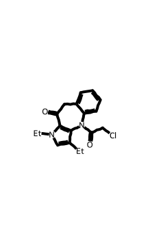 CCc1cn(CC)c2c1N(C(=O)CCl)c1ccccc1CC2=O